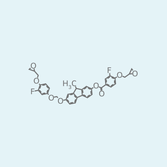 CC1c2cc(OCOc3ccc(OCC4CO4)c(F)c3)ccc2-c2ccc(OC(=O)c3ccc(OCC4CO4)c(F)c3)cc21